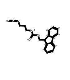 [N-]=[N+]=NCCCNC(=O)OCC1c2ccccc2-c2ccccc21